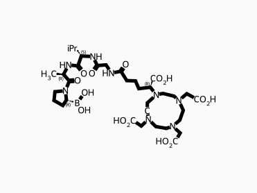 CC(C)[C@H](NC(=O)CNC(=O)CCC[C@H](C(=O)O)N1CCN(CC(=O)O)CCN(CC(=O)O)CCN(CC(=O)O)CC1)C(=O)N[C@H](C)C(=O)N1CCC[C@H]1B(O)O